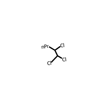 CCCC(Cl)C(Cl)Cl